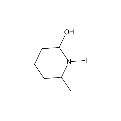 CC1CCCC(O)N1I